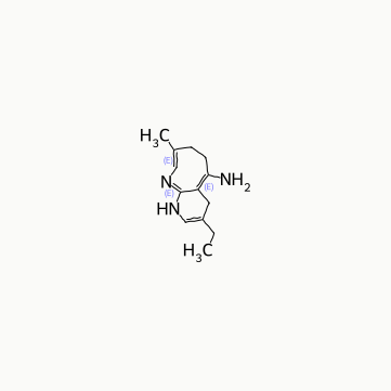 CCC1=CNC2=N/C=C(\C)CC/C(N)=C\2C1